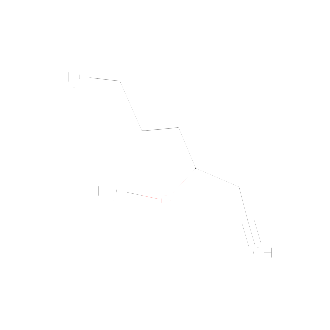 C#CCC(CCC[CH2])OC